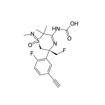 C#Cc1ccc(F)c([C@]2(CF)C[S@@](=O)(=NC)C(C)(C)C(NC(=O)O)=N2)c1